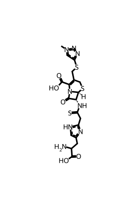 Cn1cc(SCC2=C(C(=O)O)N3C(=O)[C@@H](NC(=S)Cc4nc(CC(N)C(=O)O)c[nH]4)[C@@H]3SC2)nn1